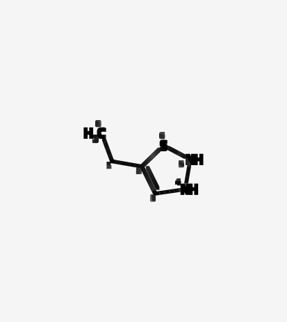 CCC1=CNNS1